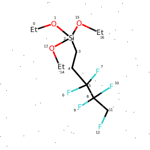 CCO[Si](CCC(F)(F)C(F)(F)CF)(OCC)OCC